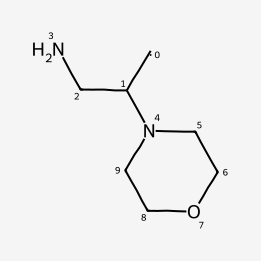 [CH2]C(CN)N1CCOCC1